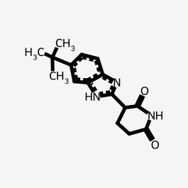 CC(C)(C)c1ccc2nc(C3CCC(=O)NC3=O)[nH]c2c1